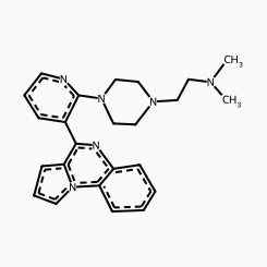 CN(C)CCN1CCN(c2ncccc2-c2nc3ccccc3n3cccc23)CC1